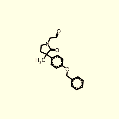 CC1(c2ccc(OCc3ccccc3)cc2)CCN(CC=O)C1=O